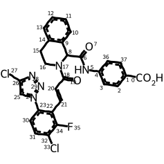 O=C(O)c1ccc(NC(=O)C2c3ccccc3CCN2C(=O)C=Cc2c(-n3cc(Cl)nn3)ccc(Cl)c2F)cc1